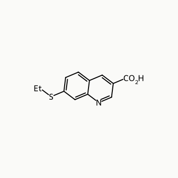 CCSc1ccc2cc(C(=O)O)cnc2c1